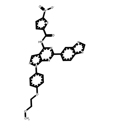 COCCOc1ccc(-n2ncc3c(NC(=O)c4ccc([N+](=O)[O-])s4)nc(-c4ccc5scnc5c4)nc32)cc1